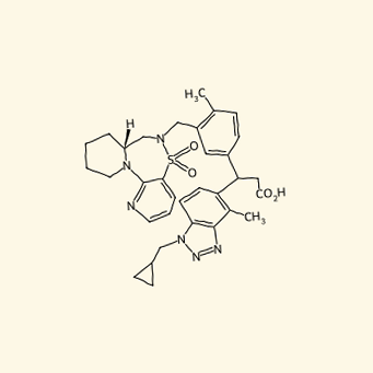 Cc1ccc(C(CC(=O)O)c2ccc3c(nnn3CC3CC3)c2C)cc1CN1C[C@H]2CCCCN2c2ncccc2S1(=O)=O